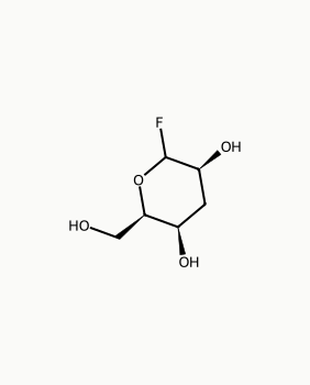 OC[C@H]1OC(F)[C@@H](O)C[C@H]1O